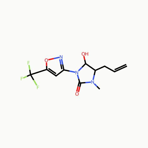 C=CCC1C(O)N(c2cc(C(F)(F)F)on2)C(=O)N1C